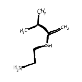 C=C(NCCN)C(C)C